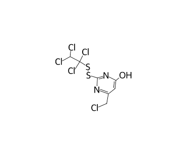 Oc1cc(CCl)nc(SSC(Cl)(Cl)C(Cl)Cl)n1